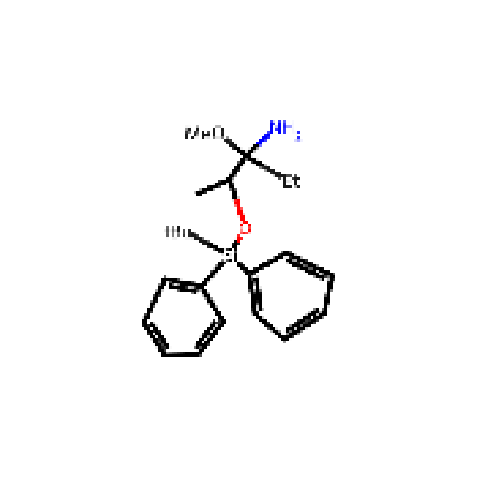 CCC(N)(OC)C(C)O[Si](c1ccccc1)(c1ccccc1)C(C)(C)C